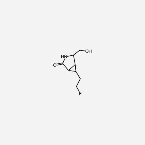 O=C1NC(CO)C2C(CCF)C12